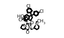 CCN1CCC[C@H](CNC(=O)[C@H]2CCCN2C(=O)[C@@H]2C[C@@H](O)CN2C(=O)CC(c2ccc(Cl)cc2)(c2ccc(Cl)cc2)c2ccc(Cl)cc2)C1